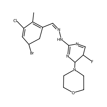 CC1=C(/C=N\NC2=NC(N3CCOCC3)C(F)C=N2)CC(Br)C=C1Cl